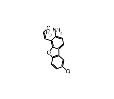 C/C=C\c1c(N)ccc2c1oc1ccc(Cl)cc12